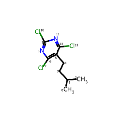 CC(C)CCc1c(Cl)nc(Cl)nc1Cl